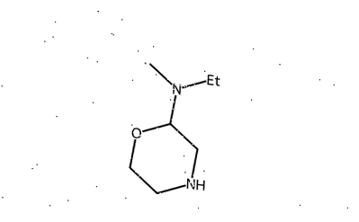 [CH2]N(CC)C1CNCCO1